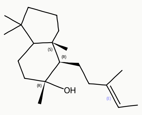 C/C=C(\C)CC[C@@H]1[C@@]2(C)CCCC(C)(C)C2CC[C@@]1(C)O